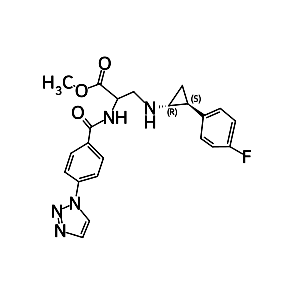 COC(=O)C(CN[C@@H]1C[C@H]1c1ccc(F)cc1)NC(=O)c1ccc(-n2ccnn2)cc1